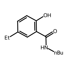 CCCCNC(=O)c1cc(CC)ccc1O